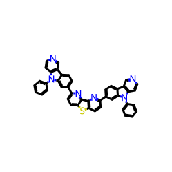 c1ccc(-n2c3ccncc3c3ccc(-c4ccc5sc6ccc(-c7ccc8c9cnccc9n(-c9ccccc9)c8c7)nc6c5n4)cc32)cc1